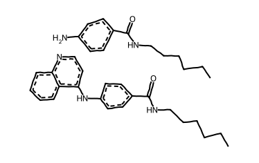 CCCCCCNC(=O)c1ccc(N)cc1.CCCCCCNC(=O)c1ccc(Nc2ccnc3ccccc23)cc1